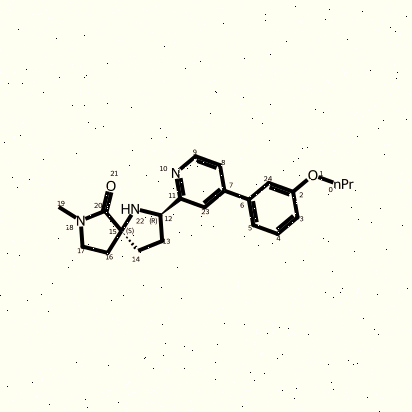 CCCOc1cccc(-c2ccnc([C@H]3CC[C@@]4(CCN(C)C4=O)N3)c2)c1